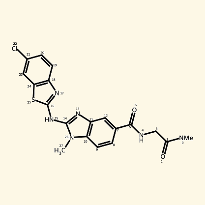 CNC(=O)CNC(=O)c1ccc2c(c1)nc(Nc1nc3ccc(Cl)cc3s1)n2C